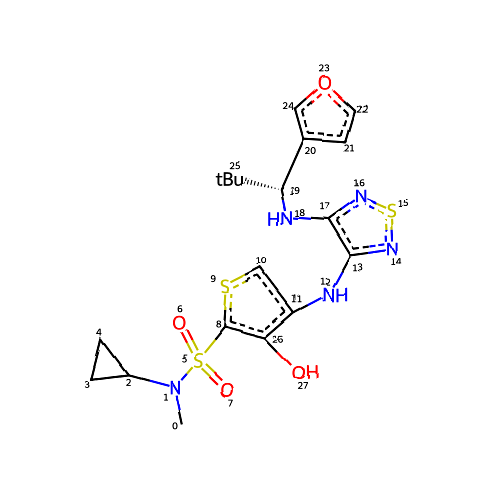 CN(C1CC1)S(=O)(=O)c1scc(Nc2nsnc2N[C@@H](c2ccoc2)C(C)(C)C)c1O